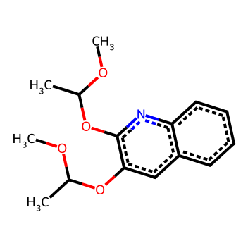 COC(C)Oc1cc2ccccc2nc1OC(C)OC